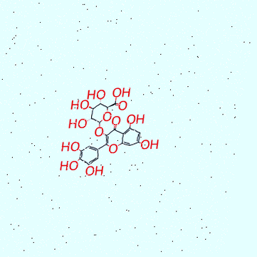 O=C(O)[C@H]1OC(Oc2c(-c3cc(O)c(O)c(O)c3)oc3cc(O)cc(O)c3c2=O)[C@H](O)[C@@H](O)[C@@H]1O